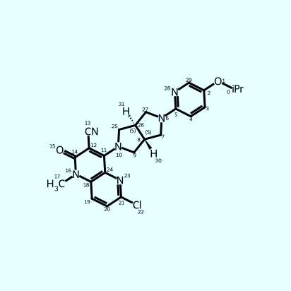 CC(C)Oc1ccc(N2C[C@@H]3CN(c4c(C#N)c(=O)n(C)c5ccc(Cl)nc45)C[C@H]3C2)nc1